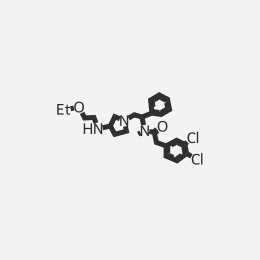 CCOCCNC1CCN(CC(c2ccccc2)N(C)C(=O)Cc2ccc(Cl)c(Cl)c2)C1